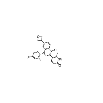 Cc1cc(F)ccc1N1CN(c2ccc(=O)[nH]c2C)C(=O)c2ccc(C3COC3)cc21